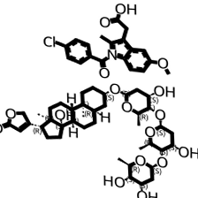 COc1ccc2c(c1)c(CC(=O)O)c(C)n2C(=O)c1ccc(Cl)cc1.C[C@H]1O[C@@H](O[C@H]2[C@@H](O)C[C@H](O[C@H]3[C@@H](O)C[C@H](O[C@H]4CC[C@@]5(C)[C@H](CC[C@@H]6[C@@H]5CC[C@]5(C)[C@@H](C7=CC(=O)OC7)CC[C@]65O)C4)O[C@@H]3C)O[C@@H]2C)C[C@H](O)[C@@H]1O